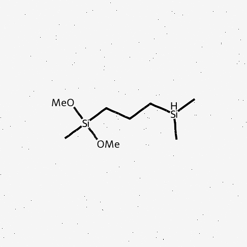 CO[Si](C)(CCC[SiH](C)C)OC